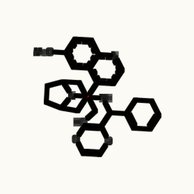 COc1ccc2nccc(C(CO)N3C4CCC3CC(NC(C3=CC=CCC3)C3=COC=CO3)C4)c2c1